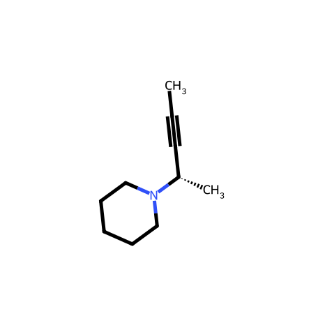 CC#C[C@H](C)N1CCCCC1